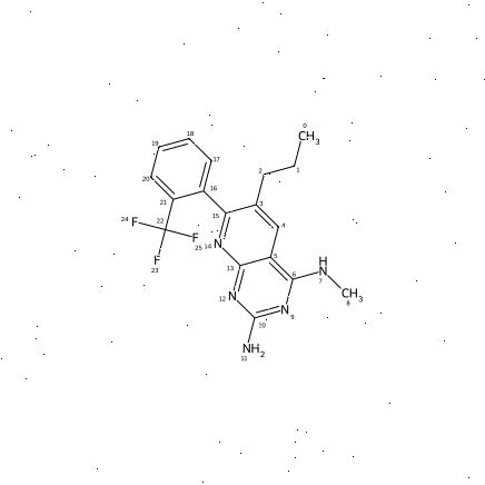 CCCc1cc2c(NC)nc(N)nc2nc1-c1ccccc1C(F)(F)F